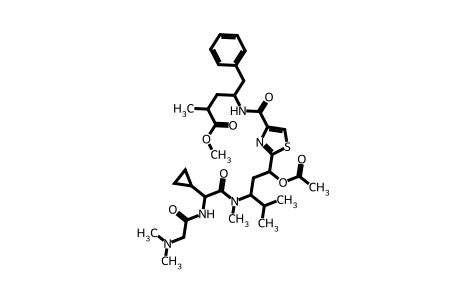 COC(=O)C(C)CC(Cc1ccccc1)NC(=O)c1csc(C(CC(C(C)C)N(C)C(=O)C(NC(=O)CN(C)C)C2CC2)OC(C)=O)n1